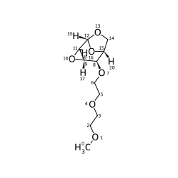 COCCOCCO[C@H]1[C@@H]2O[C@@H]2[C@@H]2OC[C@H]1O2